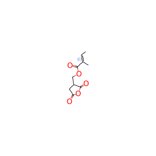 C/C=C(\C)C(=O)OCC1CC(=O)OC1=O